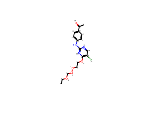 CCOCOOCCOc1nc(Nc2ccc(C(C)=O)cc2)ncc1Br